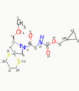 COC[C@@H]1CC2(CN1C(=O)CNC(=O)OCC1CC1)SCCCS2